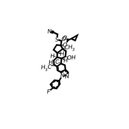 C[C@H]1C[C@@H]2[C@H]([C@@H](O)C[C@@]3(C)[C@H]2CC[C@]3(OC(=O)C2CC2)C(=O)SCC#N)[C@@]2(C)Cc3cnn(-c4ccc(F)cc4)c3C=C12